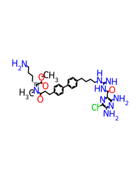 COC(=O)[C@@H](CCCCN)N(C)C(=O)CCc1ccc(-c2ccc(CCCCNC(=N)NC(=O)c3nc(Cl)c(N)nc3N)cc2)cc1